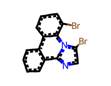 Brc1cccc2c3ccccc3c3ncc(Br)n3c12